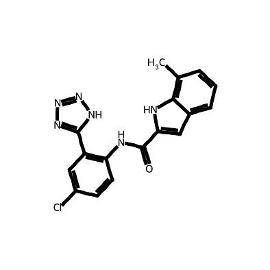 Cc1cccc2cc(C(=O)Nc3ccc(Cl)cc3-c3nnn[nH]3)[nH]c12